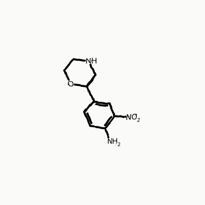 Nc1ccc(C2CNCCO2)cc1[N+](=O)[O-]